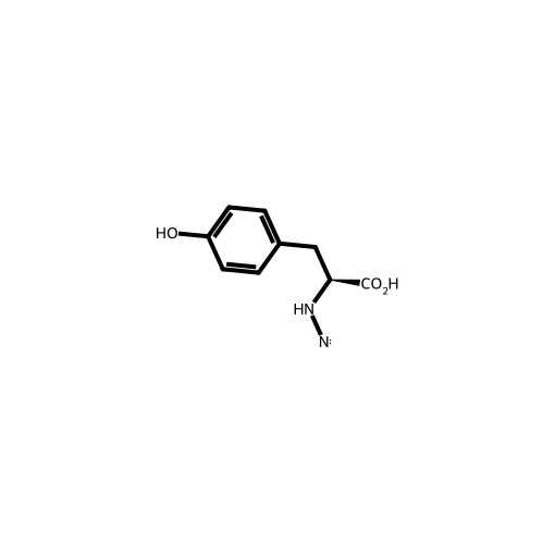 [N]N[C@@H](Cc1ccc(O)cc1)C(=O)O